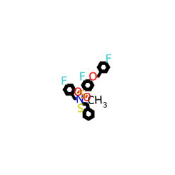 Cc1c(N(Cc2ccc(F)cc2)S(=O)(=O)c2ccc(OCc3ccc(F)cc3)c(F)c2)sc2ccccc12